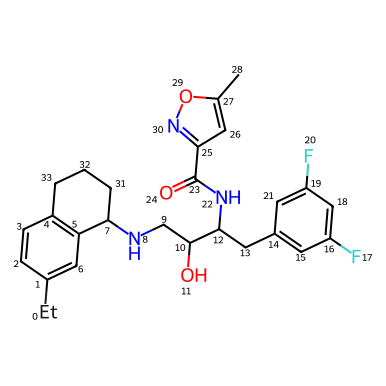 CCc1ccc2c(c1)C(NCC(O)C(Cc1cc(F)cc(F)c1)NC(=O)c1cc(C)on1)CCC2